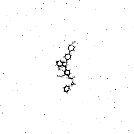 COc1cc(-c2nn([C@H]3CC[C@H](N4CCN(C)CC4)CC3)c3ncnc(N)c23)ccc1NC(=O)[C@H]1C[C@@H]1c1ccccc1